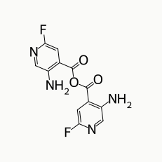 Nc1cnc(F)cc1C(=O)OC(=O)c1cc(F)ncc1N